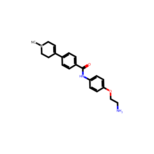 N#CB1CC=C(c2ccc(C(=O)Nc3ccc(OCCN)cc3)cc2)CC1